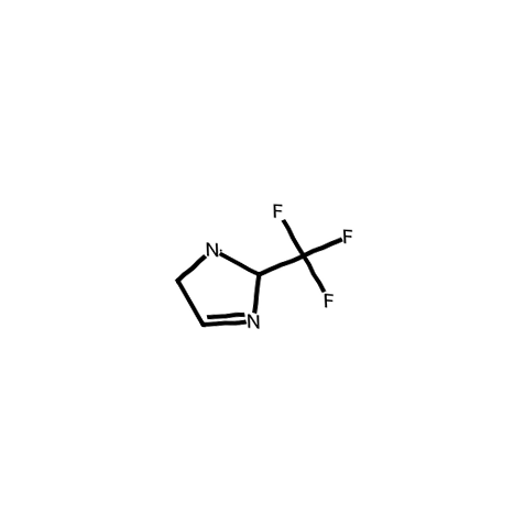 FC(F)(F)C1[N]CC=N1